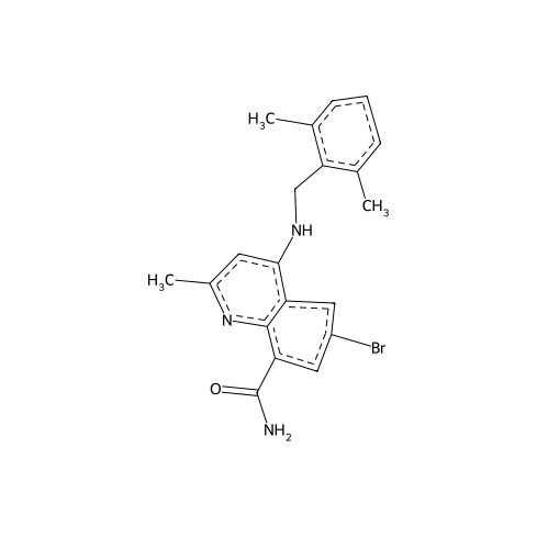 Cc1cc(NCc2c(C)cccc2C)c2cc(Br)cc(C(N)=O)c2n1